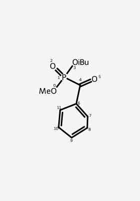 COP(=O)(OCC(C)C)C(=O)c1ccccc1